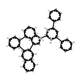 c1ccc(-c2cc(-c3ccccc3)nc(-n3cc4c5c(cccc53)-c3ccccc3-c3cc5ccccc5cc3-4)n2)cc1